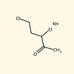 CC(=O)C(Cl)CCCl.[KH]